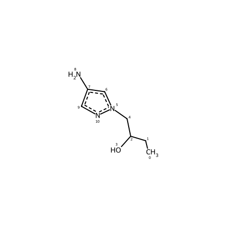 CCC(O)Cn1cc(N)cn1